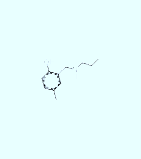 CCCNCc1cc(C)ccc1O